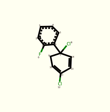 Fc1ccccc1C1(Cl)[CH]C=C(Cl)C=C1